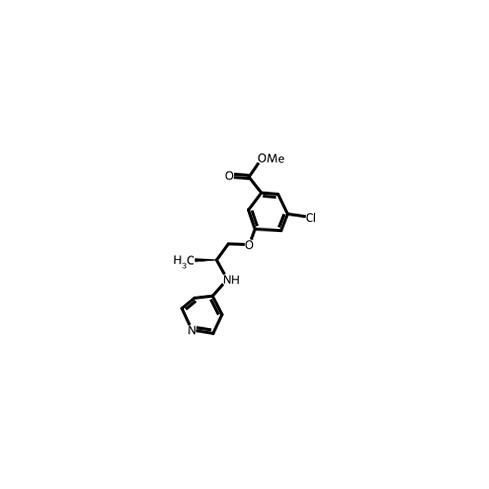 COC(=O)c1cc(Cl)cc(OC[C@H](C)Nc2ccncc2)c1